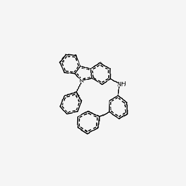 c1ccc(-c2cccc(Nc3ccc4c5ccccc5n(-c5ccccc5)c4c3)c2)cc1